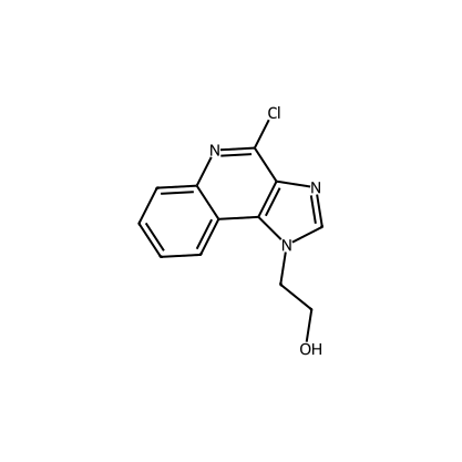 OCCn1cnc2c(Cl)nc3ccccc3c21